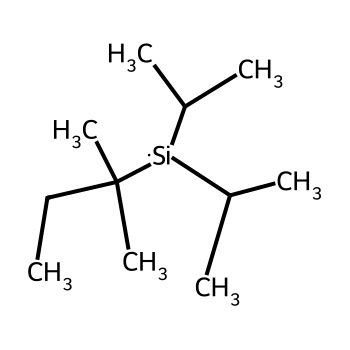 CCC(C)(C)[Si](C(C)C)C(C)C